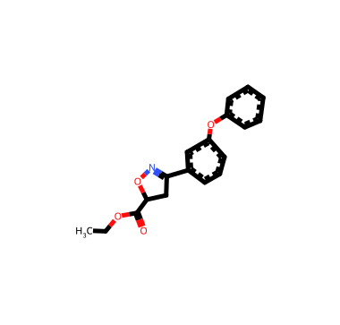 CCOC(=O)C1CC(c2cccc(Oc3ccccc3)c2)=NO1